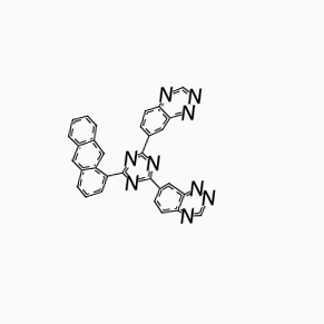 c1ccc2cc3c(-c4nc(-c5ccc6ncnnc6c5)nc(-c5ccc6ncnnc6c5)n4)cccc3cc2c1